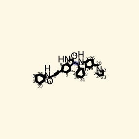 O=C(C#Cc1ccc2c(c1)NC(=O)/C2=C(\Nc1ccc(CN2CCCC2)cc1)c1ccccc1)Nc1ccccc1